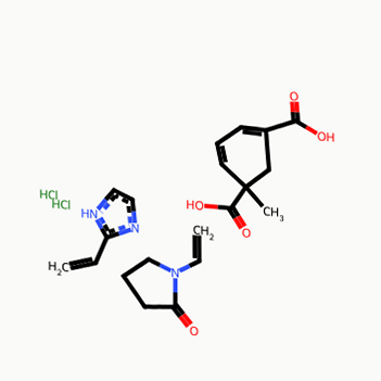 C=CN1CCCC1=O.C=Cc1ncc[nH]1.CC1(C(=O)O)C=CC=C(C(=O)O)C1.Cl.Cl